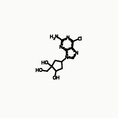 Nc1nc(Cl)c2ncn(C3CC(O)C(O)(CO)C3)c2n1